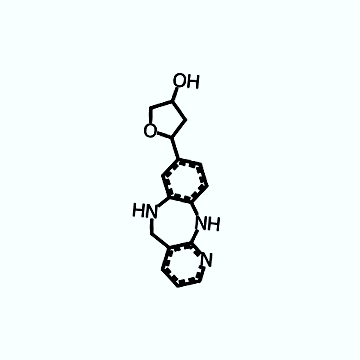 OC1COC(c2ccc3c(c2)NCc2cccnc2N3)C1